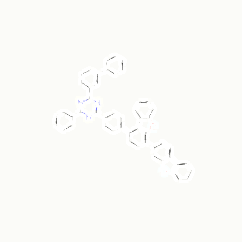 c1ccc(-c2cccc(-c3nc(-c4ccccc4)nc(-c4ccc(-c5ccc(-c6ccc7c(c6)oc6ccccc67)c6oc7ccccc7c56)cc4)n3)c2)cc1